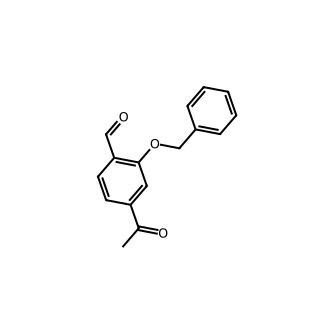 CC(=O)c1ccc(C=O)c(OCc2ccccc2)c1